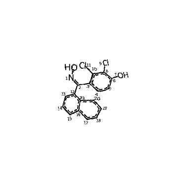 O/N=C(\c1ccc(O)c(Cl)c1Cl)c1cccc2ccccc12